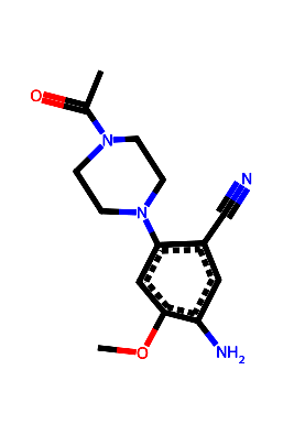 COc1cc(N2CCN(C(C)=O)CC2)c(C#N)cc1N